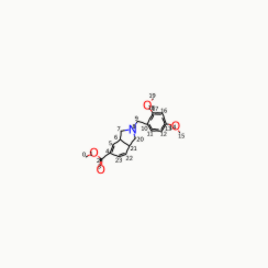 COC(=O)C1=CC2CN(Cc3ccc(OC)cc3OC)CC2C=C1